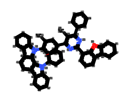 N#Cc1cc(-c2nc(-c3cccc4c3oc3ccccc34)nc(-c3ccccc3)c2C#N)ccc1-n1c2ccccc2c2ccc3c4ccccc4n(-c4ccccc4)c3c21